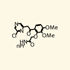 CCCNC(=O)COc1c(C(=O)Cc2cncc(Cl)n2)ccc(OC)c1OC